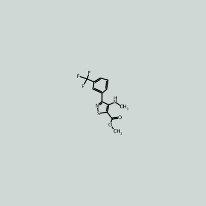 CNc1c(-c2cccc(C(F)(F)F)c2)nsc1C(=O)OC